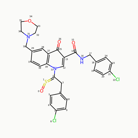 O=S=C(Cc1ccc(Cl)cc1)n1cc(C(=O)NCc2ccc(Cl)cc2)c(=O)c2cc(CN3CCOCC3)ccc21